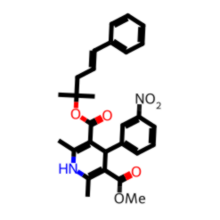 COC(=O)C1=C(C)NC(C)=C(C(=O)OC(C)(C)CC=Cc2ccccc2)C1c1cccc([N+](=O)[O-])c1